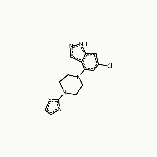 Clc1cc(N2CCN(c3nccs3)CC2)c2cn[nH]c2c1